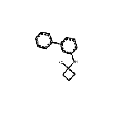 N#CC1(Nc2cccc(-c3ccccc3)c2)CCC1